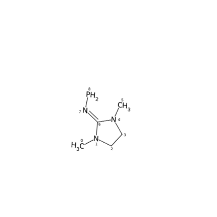 CN1CCN(C)C1=NP